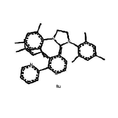 CC(C)=CC=c1c(-c2ccccn2)nccc1=C1N(c2c(C)cc(C)cc2C)CCN1c1c(C)cc(C)cc1C.[Ru]